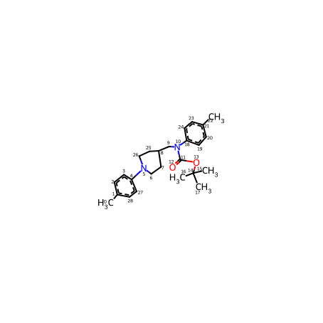 Cc1ccc(N2CCC(CN(C(=O)OC(C)(C)C)c3ccc(C)cc3)CC2)cc1